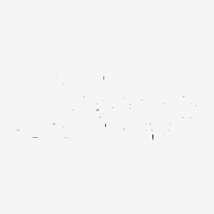 CC1(C)CC[C@]2(c3noc(CF)n3)CC[C@]3(C)[C@H](C(=O)C=C4[C@@]5(C)Cc6cnoc6C(C)(C)[C@@H]5CC[C@]43C)[C@@H]2C1